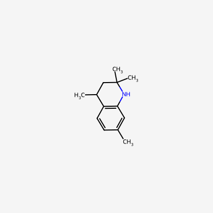 Cc1ccc2c(c1)NC(C)(C)CC2C